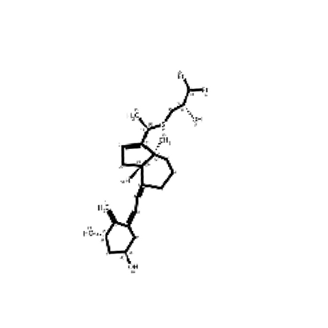 C=C1C(=CC=C2CCC[C@]3(C)C([C@@H](C)SC[C@@H](O)C(CC)CC)=CC[C@@H]23)C[C@@H](O)C[C@@H]1O